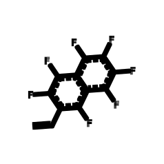 C=Cc1c(F)c(F)c2c(F)c(F)c(F)c(F)c2c1F